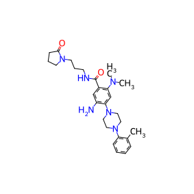 Cc1ccccc1N1CCN(c2cc(N(C)C)c(C(=O)NCCCN3CCCC3=O)cc2N)CC1